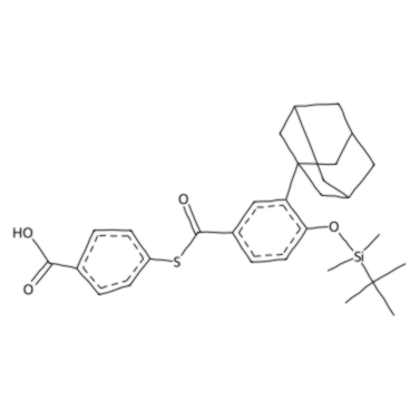 CC(C)(C)[Si](C)(C)Oc1ccc(C(=O)Sc2ccc(C(=O)O)cc2)cc1C12CC3CC(CC(C3)C1)C2